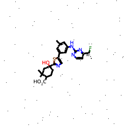 Cc1cc(Nc2nccc([C@@H](C)F)n2)cc(-c2cnc(C3(O)CCC(C(=O)O)C(C)(C)C3)s2)c1